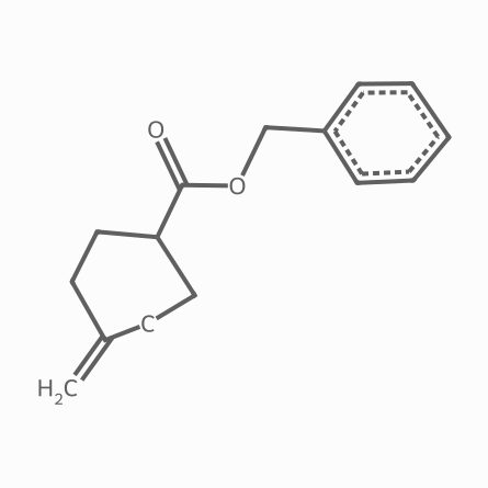 C=C1CCC(C(=O)OCc2ccccc2)CC1